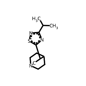 CC(C)c1nsc(C2CN3CCC2CC3)n1